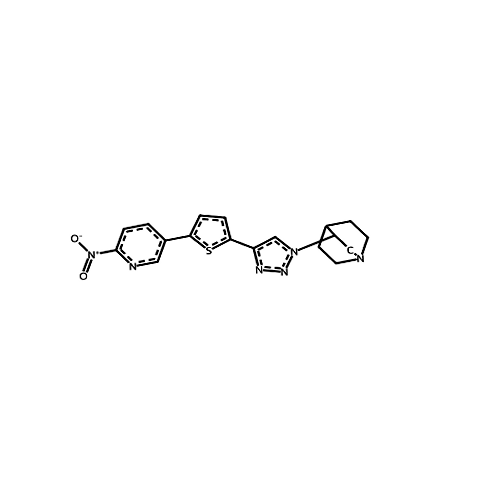 O=[N+]([O-])c1ccc(-c2ccc(-c3cn(C4CN5CCC4CC5)nn3)s2)cn1